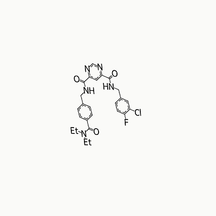 CCN(CC)C(=O)c1ccc(CNC(=O)c2cc(C(=O)NCc3ccc(F)c(Cl)c3)ncn2)cc1